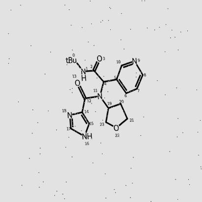 CC(C)(C)NC(=O)C(c1cccnc1)N(C(=O)c1c[nH]cn1)C1CCOC1